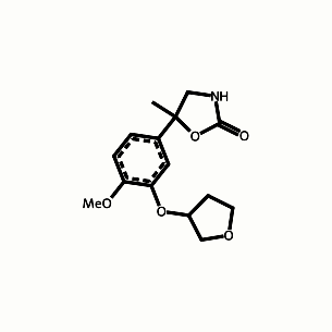 COc1ccc(C2(C)CNC(=O)O2)cc1OC1CCOC1